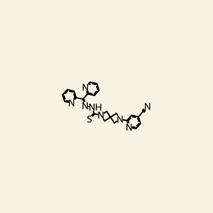 N#Cc1ccnc(N2CC3(CN(C(=S)NN=C(c4ccccn4)c4ccccn4)C3)C2)c1